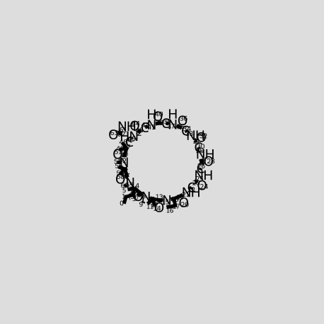 CC[C@H](C)C1(C)C(=O)N(C)C(C)(C)C(=O)N2CCC2C(=O)NCC(=O)NCC(=O)NCC(=O)NCC(=O)NCC(=O)NCC(=O)NCC(C)(C)C(=O)N(C)C(C)(C)C(=O)N1C.NC=O